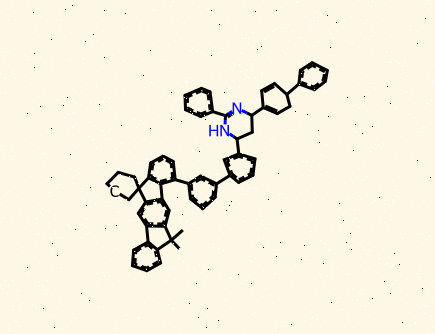 CC1(C)c2ccccc2-c2cc3c(cc21)-c1c(-c2cccc(-c4cccc(C5CC(C6=CCC(c7ccccc7)C=C6)N=C(c6ccccc6)N5)c4)c2)cccc1C31CCCCC1